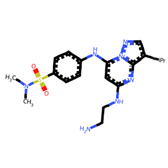 CC(C)c1cnn2c(Nc3ccc(S(=O)(=O)N(C)C)cc3)cc(NCCN)nc12